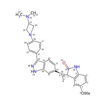 COc1ccc2c(c1)[C@]1(C[C@H]1c1ccc3c(-c4ccc(N5CC(N(C)C)C5)cc4)n[nH]c3c1)C(=O)N2